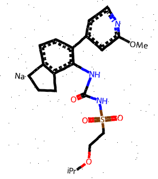 COc1cc(-c2ccc3c(c2NC(=O)NS(=O)(=O)CCOC(C)C)CCC3)ccn1.[Na]